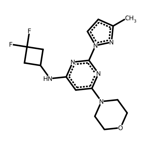 Cc1ccn(-c2nc(NC3CC(F)(F)C3)cc(N3CCOCC3)n2)n1